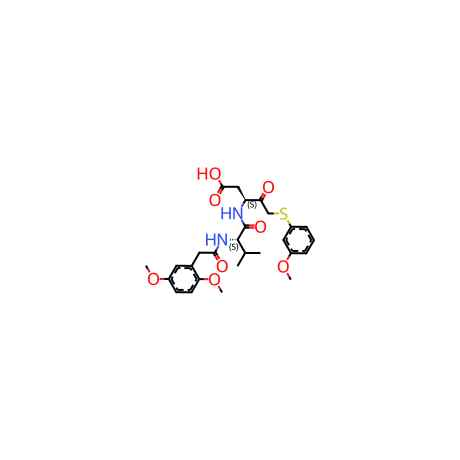 COc1cccc(SCC(=O)[C@H](CC(=O)O)NC(=O)[C@@H](NC(=O)Cc2cc(OC)ccc2OC)C(C)C)c1